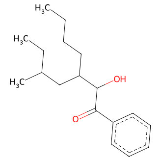 CCCCC(CC(C)CC)C(O)C(=O)c1ccccc1